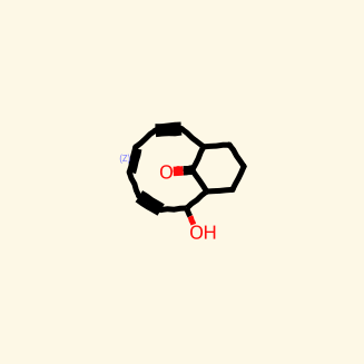 O=C1C2C#C/C=C\C#CC(O)C1CCC2